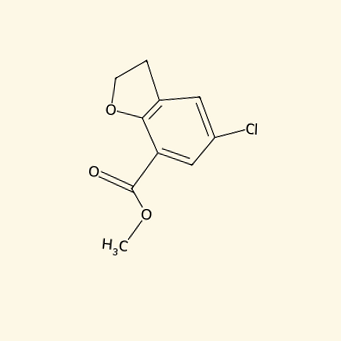 COC(=O)c1cc(Cl)cc2c1OCC2